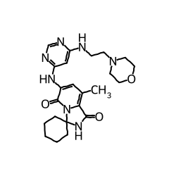 Cc1cc(Nc2cc(NCCN3CCOCC3)ncn2)c(=O)n2c1C(=O)NC21CCCCC1